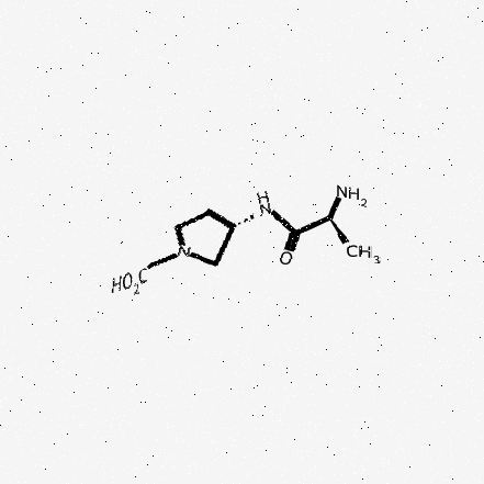 C[C@H](N)C(=O)N[C@H]1CCN(C(=O)O)C1